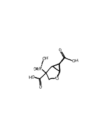 O=C(O)C1C2OCC(C(=O)O)([PH](=O)O)C21